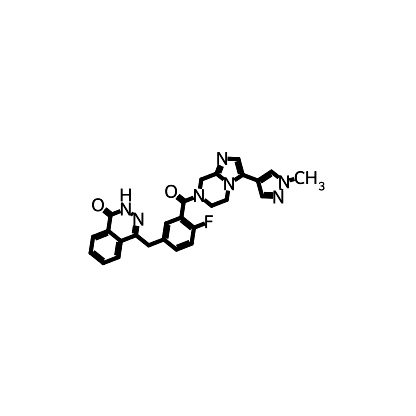 Cn1cc(-c2cnc3n2CCN(C(=O)c2cc(Cc4n[nH]c(=O)c5ccccc45)ccc2F)C3)cn1